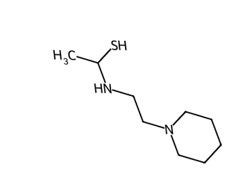 CC(S)NCCN1CCCCC1